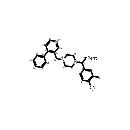 CCCCCC(c1ccc(C#N)c(C)c1)N1CCN(Cc2cnccc2-c2ccccc2)CC1